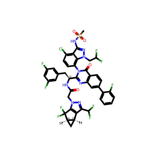 CS(=O)(=O)Nc1nn(CC(F)F)c2c(-n3c([C@H](Cc4cc(F)cc(F)c4)NC(=O)Cn4nc(C(F)F)c5c4C(F)(F)[C@@H]4C[C@H]54)nc4cc(-c5ccccc5F)ccc4c3=O)ccc(Cl)c12